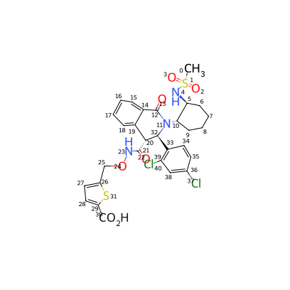 CS(=O)(=O)N[C@H]1CCCC[C@@H]1N1C(=O)c2ccccc2[C@@H](C(=O)NOCc2ccc(C(=O)O)s2)[C@@H]1c1ccc(Cl)cc1Cl